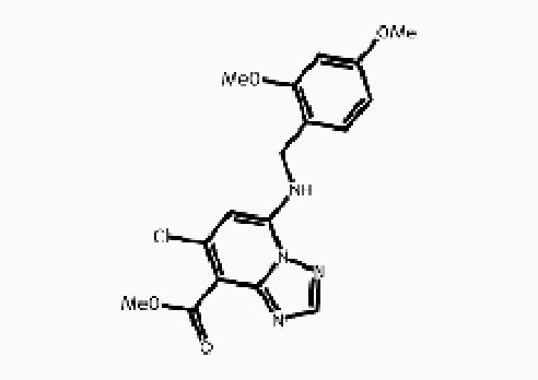 COC(=O)c1c(Cl)cc(NCc2ccc(OC)cc2OC)n2ncnc12